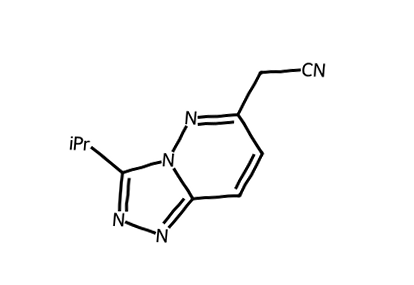 CC(C)c1nnc2ccc(CC#N)nn12